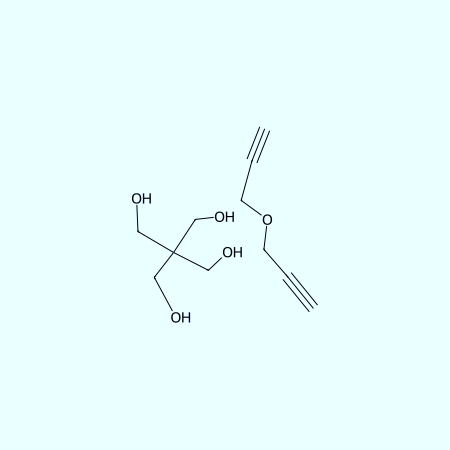 C#CCOCC#C.OCC(CO)(CO)CO